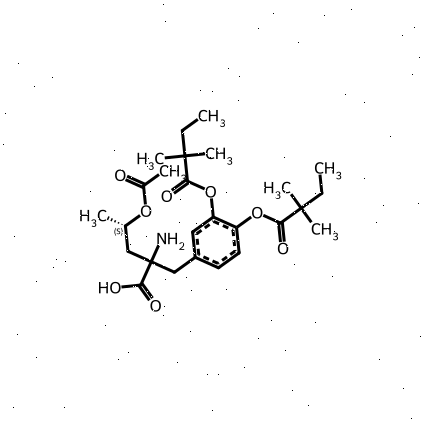 CCC(C)(C)C(=O)Oc1ccc(CC(N)(C[C@H](C)OC(C)=O)C(=O)O)cc1OC(=O)C(C)(C)CC